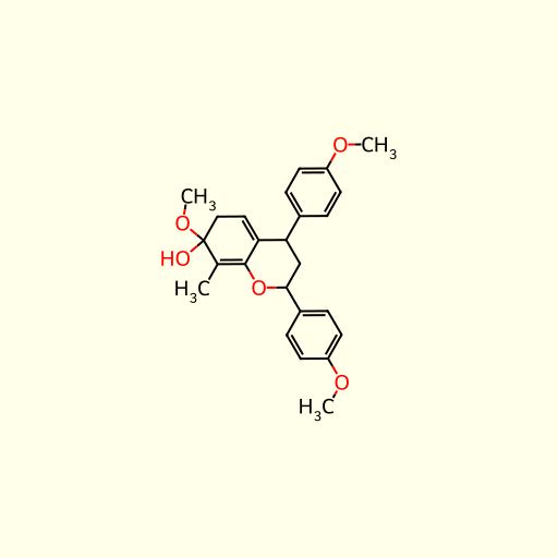 COc1ccc(C2CC(c3ccc(OC)cc3)C3=CCC(O)(OC)C(C)=C3O2)cc1